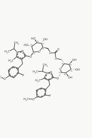 COc1ccc(Cc2c(O[C@@H]3O[C@H](COC(=O)OC[C@H]4O[C@@H](Oc5nn(C(C)C)c(C)c5Cc5ccc(OC)cc5F)[C@H](O)[C@@H](O)[C@@H]4O)[C@@H](O)[C@H](O)[C@H]3O)nn(C(C)C)c2C)c(F)c1